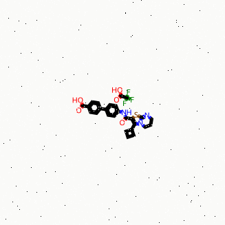 O=C(Nc1ccc(-c2ccc(C(=O)O)cc2)cc1)C1=C(C2CCC2)N2CCCN=C2S1.O=C(O)C(F)(F)F